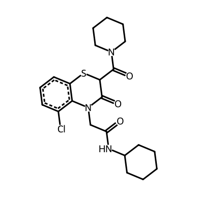 O=C(CN1C(=O)C(C(=O)N2CCCCC2)Sc2cccc(Cl)c21)NC1CCCCC1